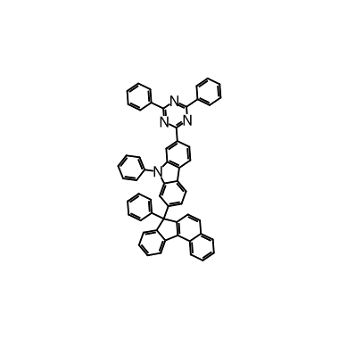 c1ccc(-c2nc(-c3ccccc3)nc(-c3ccc4c5ccc(C6(c7ccccc7)c7ccccc7-c7c6ccc6ccccc76)cc5n(-c5ccccc5)c4c3)n2)cc1